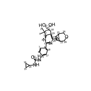 CC1(C)c2nc(-c3ccc(NC(=O)NC4CC4)cc3)nc(N3C4CCC3COC4)c2CS1(O)O